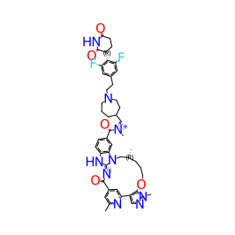 Cc1cc2cc(n1)-c1cnn(C)c1OCCC[C@@H](C)CN1/C(=N/C2=O)Nc2ccc(C(=O)/[N+](C)=C\C3CCCN(CCc4cc(F)c([C@H]5CCC(=O)NC5=O)c(F)c4)CC3)cc21